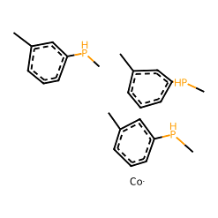 CPc1cccc(C)c1.CPc1cccc(C)c1.CPc1cccc(C)c1.[Co]